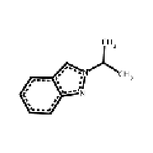 CC(C)n1cc2cc[c]cc2n1